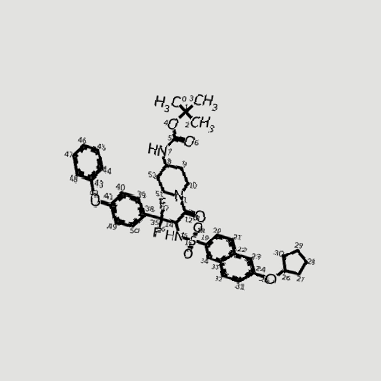 CC(C)(C)OC(=O)NC1CCN(C(=O)C(NS(=O)(=O)c2ccc3cc(OC4CCCC4)ccc3c2)C(F)(F)c2ccc(Oc3ccccc3)cc2)CC1